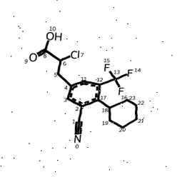 N#Cc1cc(CC(Cl)C(=O)O)cc(C(F)(F)F)c1C1CCCCC1